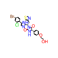 O=C1N[C@H](c2ccc(OCCO)cc2)C(=O)N1[C@@H](Cc1cscn1)c1ncc(-c2ccc(Br)cc2Cl)[nH]1